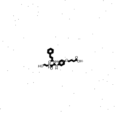 O=C(O)CCCOc1ccc(NC(NC(=O)C=Cc2ccccc2)C(=O)NCCO)cc1